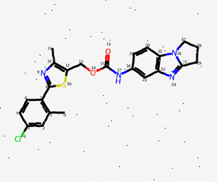 Cc1cc(Cl)ccc1-c1nc(C)c(COC(=O)Nc2ccc3c(c2)nc2n3CCC2)s1